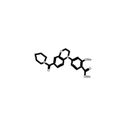 COC(=O)c1ccc(N2CCOc3cc(C(=O)N4CCCCC4)ccc32)cc1OC